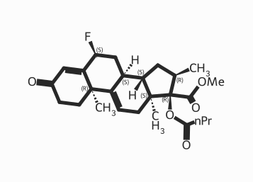 CCCC(=O)O[C@]1(C(=O)OC)[C@H](C)C[C@H]2[C@@H]3C[C@H](F)C4=CC(=O)CC[C@]4(C)C3=CC[C@@]21C